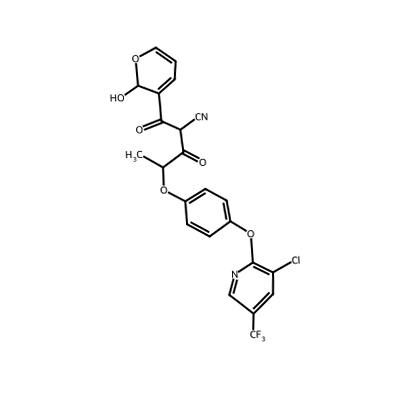 CC(Oc1ccc(Oc2ncc(C(F)(F)F)cc2Cl)cc1)C(=O)C(C#N)C(=O)C1=CC=COC1O